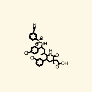 CC(CC(NS(=O)(=O)c1cccc(C#N)c1)c1ccc(Cl)cc1)C1NC(=O)C(C)(CC(=O)O)CC1c1cccc(Cl)c1